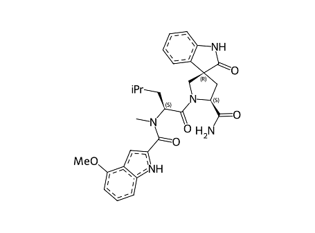 COc1cccc2[nH]c(C(=O)N(C)[C@@H](CC(C)C)C(=O)N3C[C@]4(C[C@H]3C(N)=O)C(=O)Nc3ccccc34)cc12